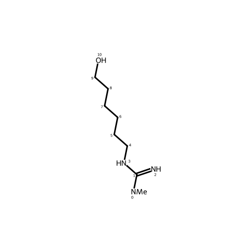 CNC(=N)NCCCCCCO